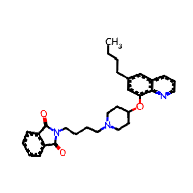 CCCCc1cc(OC2CCN(CCCCN3C(=O)c4ccccc4C3=O)CC2)c2ncccc2c1